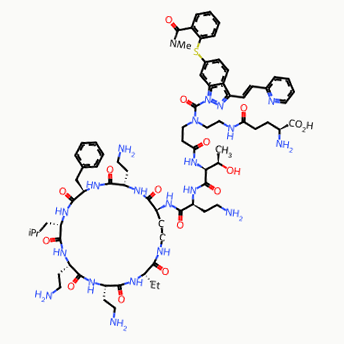 CC[C@@H]1NC(=O)[C@H](CCN)NC(=O)[C@H](CCN)NC(=O)[C@H](CC(C)C)NC(=O)[C@@H](Cc2ccccc2)NC(=O)[C@H](CCN)NC(=O)[C@@H](NC(=O)[C@H](CCN)NC(=O)[C@@H](NC(=O)CCN(CCNC(=O)CC[C@H](N)C(=O)O)C(=O)n2nc(/C=C/c3ccccn3)c3ccc(Sc4ccccc4C(=O)NC)cc32)[C@@H](C)O)CCNC1=O